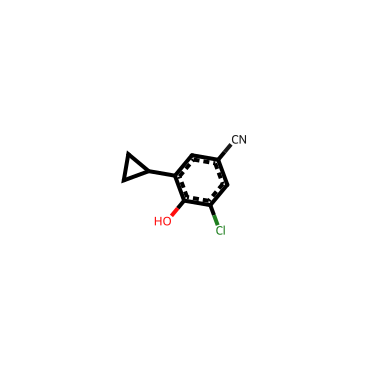 N#Cc1cc(Cl)c(O)c(C2CC2)c1